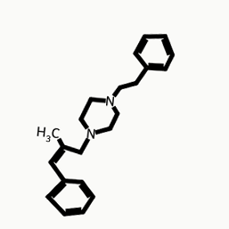 CC(=Cc1ccccc1)CN1CCN(CCc2ccccc2)CC1